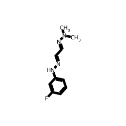 CN(C)/N=C/C=N/Nc1cccc(F)c1